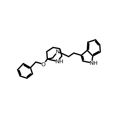 c1ccc(COC23CCC(CN2)N(CCc2c[nH]c4ccccc24)C3)cc1